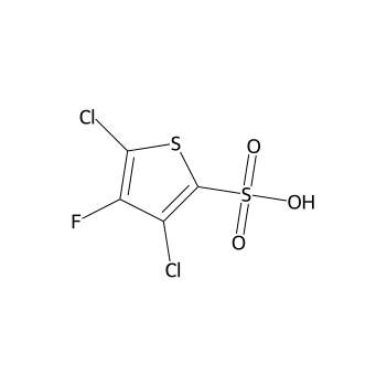 O=S(=O)(O)c1sc(Cl)c(F)c1Cl